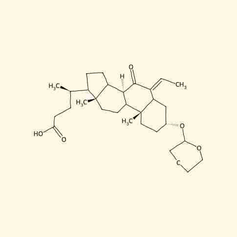 C/C=C1/C(=O)[C@H]2C(CC[C@@]3(C)C2CCC3[C@H](C)CCC(=O)O)[C@@]2(C)CC[C@@H](OC3CCCCO3)CC12